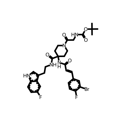 CC(C)(C)OC(=O)NCC(=O)N1CCC(NC(=O)/C=C/c2ccc(F)c(Br)c2)(C(=O)NCCc2c[nH]c3ccc(F)cc23)CC1